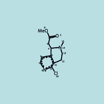 COC(=O)CC1c2ccnc(Cl)c2CCN1C